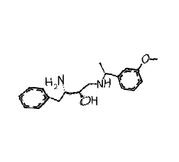 COc1cccc([C@H](C)NC[C@@H](O)[C@@H](N)Cc2ccccc2)c1